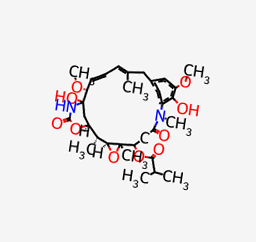 COc1cc2cc(c1O)N(C)C(=O)CC(OC(=O)C(C)C)[C@]1(C)O[C@H]1[C@H](C)[C@@H]1CC(O)(NC(=O)O1)[C@H](OC)/C=C/C=C(\C)C2